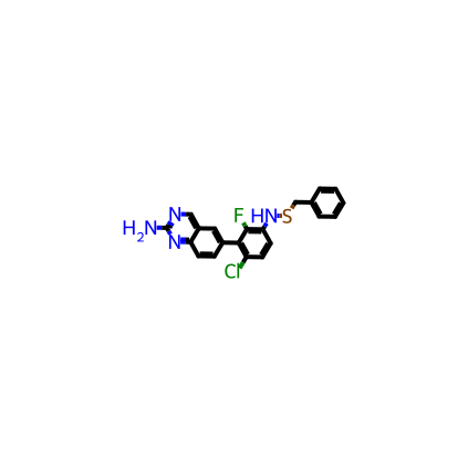 Nc1ncc2cc(-c3c(Cl)ccc(NSCc4ccccc4)c3F)ccc2n1